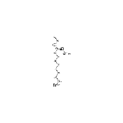 CCOC(CCCCCCCCBr)OCC